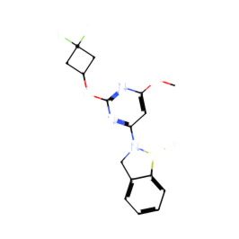 COc1cc(N2Cc3ccccc3[S+]2[O-])nc(OC2CC(F)(F)C2)n1